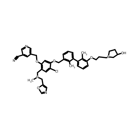 Cc1c(COc2cc(OCc3cncc(C#N)c3)c(CN(C)Cc3cnco3)cc2Cl)cccc1-c1cccc(OCCCN2CCC(O)C2)c1C